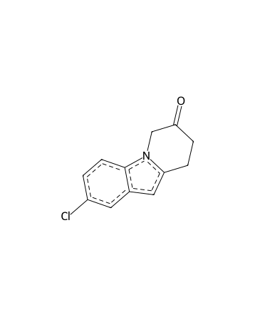 O=C1CCc2cc3cc(Cl)ccc3n2C1